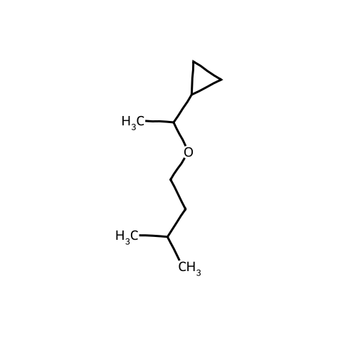 CC(C)CCOC(C)C1CC1